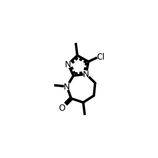 Cc1nc2n(c1Cl)CCC(C)C(=O)N2C